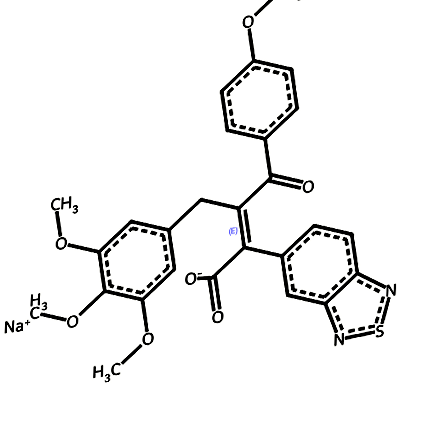 COc1ccc(C(=O)/C(Cc2cc(OC)c(OC)c(OC)c2)=C(/C(=O)[O-])c2ccc3nsnc3c2)cc1.[Na+]